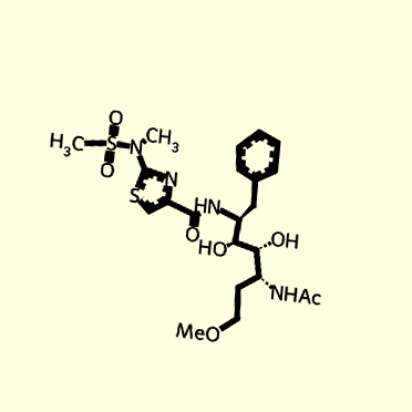 COCC[C@@H](NC(C)=O)[C@@H](O)[C@H](O)[C@H](Cc1ccccc1)NC(=O)c1csc(N(C)S(C)(=O)=O)n1